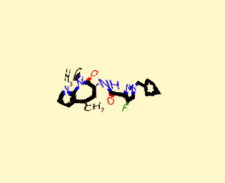 C[C@H]1C[C@@H](NC(=O)c2nn(Cc3ccccc3)cc2F)C(=O)N(C)c2ncccc21